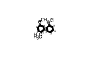 COc1ccccc1.Cl[B]c1ccccc1.O.O